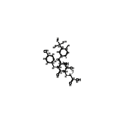 Cc1ccc(/N=c2\[nH]c(=O)n(C[C@H](C)C(=O)O)c(=O)n2Cc2ccc(Cl)cc2)cc1C(F)(F)F